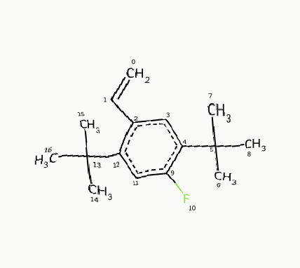 C=Cc1cc(C(C)(C)C)c(F)cc1C(C)(C)C